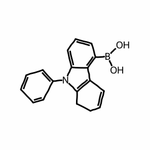 OB(O)c1cccc2c1c1c(n2-c2ccccc2)CCC=C1